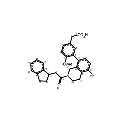 COc1ccc(CC(=O)O)cc1-c1ccc(F)c2c1CN(C(=O)CC1CCc3ccccc31)CC2